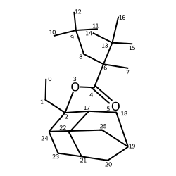 CCC1(OC(=O)C(C)(CC(C)(C)C)C(C)(C)C)C2CC3CC(C2)CC1C3